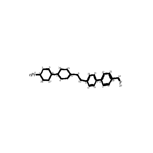 CCCC1CCC(C2CCC(CCc3ccc(-c4ccc(CF)cc4)cc3)CC2)CC1